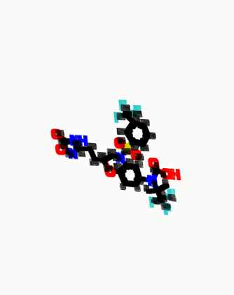 CC(C)(N(C(=O)O)c1ccc2c(c1)N(S(=O)(=O)c1cccc(C(F)(F)F)c1)C[C@H](CCc1noc(=O)[nH]1)O2)C(F)(F)F